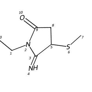 CCN1C(=N)C(SC)CC1=O